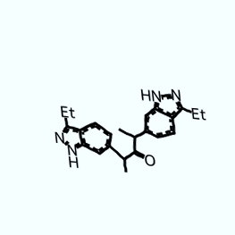 CCc1n[nH]c2cc(C(C)C(=O)C(C)c3ccc4c(CC)n[nH]c4c3)ccc12